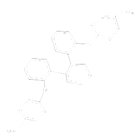 COc1ccc(Nc2ccccc2-c2ccccc2-c2ccccc2Nc2ccc(OC)cc2)cc1